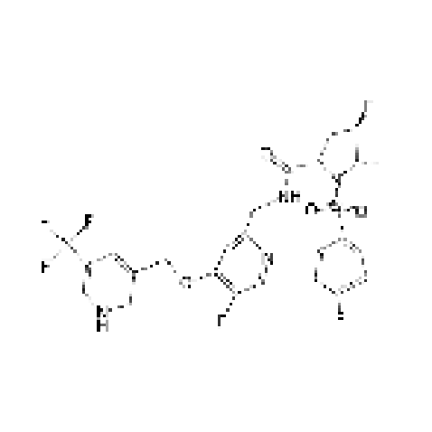 C[C@H]1[C@H](F)C[C@@H](C(=O)NCc2cc(OCC3=CC(C(F)(F)F)=CNC3)c(F)cn2)N1S(=O)(=O)c1ccc(F)cc1